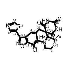 C[C@@H]1OCCN2c3c(cc4c(-c5cncs5)noc4c3Cl)CC3(C(=O)NC(=O)NC3=O)[C@@H]12